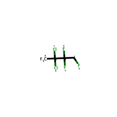 FCC(F)(F)C(Cl)(Cl)C(F)(F)F